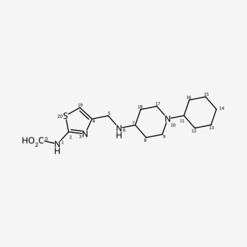 O=C(O)Nc1nc(CNC2CCN(C3CCCCC3)CC2)cs1